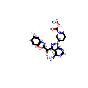 CC(C)(C)OC(=O)N1CCC[C@@H](n2nc(C(=O)c3nc4cc(F)ccc4o3)c3c(N)ncnc32)C1